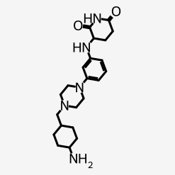 NC1CCC(CN2CCN(c3cccc(NC4CCC(=O)NC4=O)c3)CC2)CC1